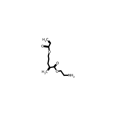 C=CC(=O)OCCCC(=C)C(=O)OCCN